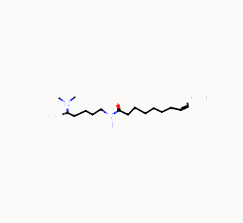 CCCCCCCC/C=C\CCCCCCC(=O)NCCCCC(C(=O)O)N(C)C